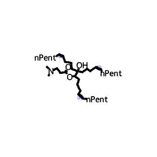 CCCCC/C=C\CCCC(OC(=O)CCN(C)C)C(O)(CCC/C=C\CCCCC)CCC/C=C\CCCCC